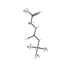 CC(=O)NOC(I)C[N+](C)(C)C